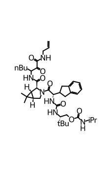 C=CCNC(=O)C(=O)C(CCCC)NC(=O)[C@@H]1[C@@H]2[C@H](CN1C(=O)[C@@H](NC(=O)N[C@H](COC(=O)NC(C)C)C(C)(C)C)C1Cc3ccccc3C1)C2(C)C